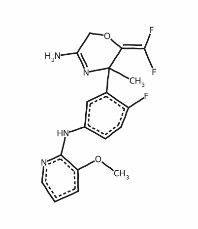 COc1cccnc1Nc1ccc(F)c(C2(C)N=C(N)COC2=C(F)F)c1